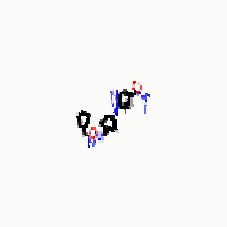 CNC(=O)c1ccc2c(c1)ncn2-c1ccc(CN2CN=C(Cc3ccccc3)O2)cc1